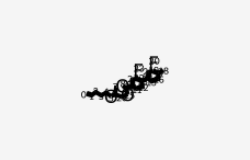 C=CCCCOC1COC(c2ccc(-c3ccc(C)c(F)c3)c(F)c2)OC1